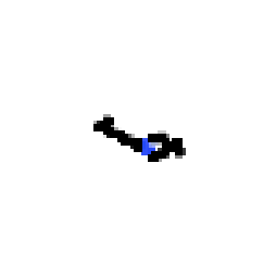 CC(C)CCCCCN1CCC(C(C)C)CC1